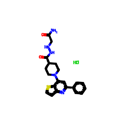 Cl.NC(=O)CNNC(=O)C1CCN(c2cc(-c3ccccc3)nc3ccsc23)CC1